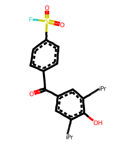 CC(C)c1cc(C(=O)c2ccc(S(=O)(=O)F)cc2)cc(C(C)C)c1O